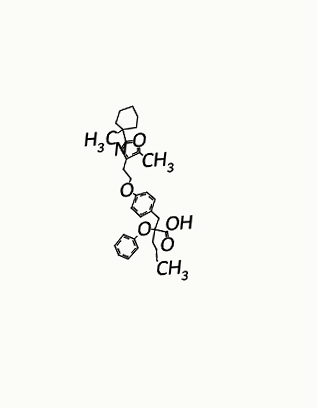 CCCCC(Cc1ccc(OCCc2nc(C3(C)CCCCC3)oc2C)cc1)(Oc1ccccc1)C(=O)O